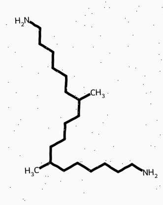 CC(CCCCCCN)CCCCC(C)CCCCCCN